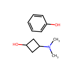 CN(C)C1CC(O)C1.Oc1ccccc1